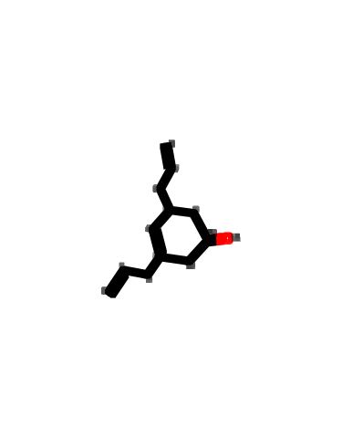 C=CCC1=CC(CC=C)CC(=O)C1